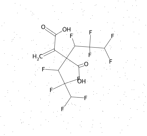 C=C(C(=O)O)C(C(=O)O)(C(F)C(F)(F)C(F)F)C(F)C(F)(F)C(F)F